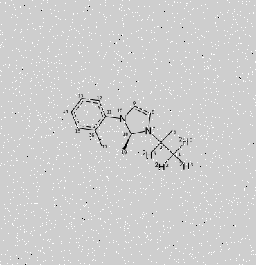 [2H]C([2H])([2H])C([2H])(C)N1C=CN(c2ccccc2C)[C@@H]1C